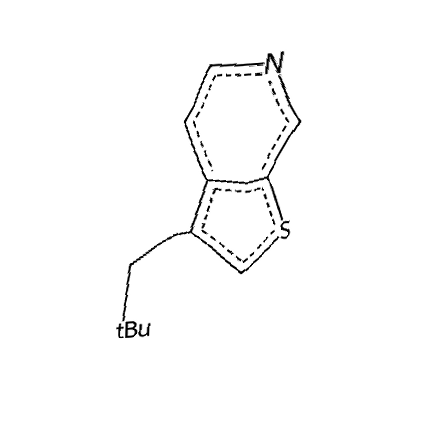 CC(C)(C)Cc1csc2cnccc12